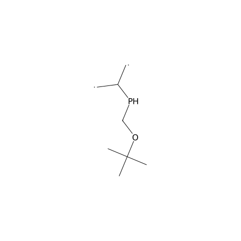 [CH2]C([CH2])PCOC(C)(C)C